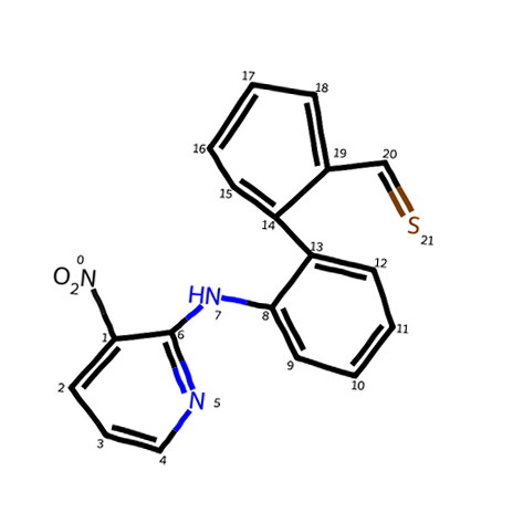 O=[N+]([O-])c1cccnc1Nc1ccccc1-c1ccccc1C=S